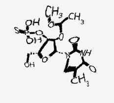 COC(C)O[C@@H]1[C@H](OP(O)(O)=S)[C@@H](CO)O[C@H]1n1cc(C)c(=O)[nH]c1=O